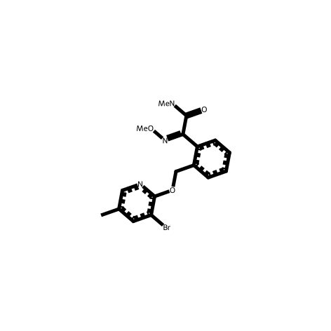 CNC(=O)C(=NOC)c1ccccc1COc1ncc(C)cc1Br